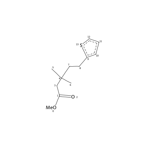 COC(=O)CC(C)(C)CCc1cccs1